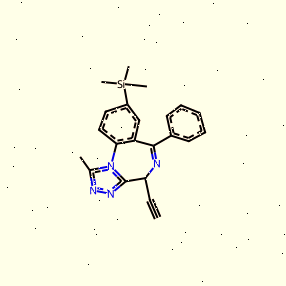 C#CC1N=C(c2ccccc2)c2cc([Si](C)(C)C)ccc2-n2c(C)nnc21